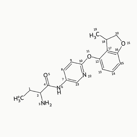 CCC(N)C(=O)Nc1ccc(Oc2cccc3c2C(C)CO3)nc1